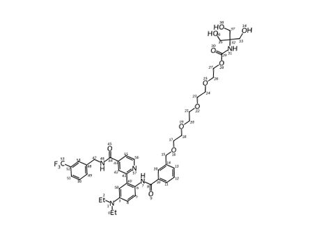 CCN(CC)c1ccc(NC(=O)c2cccc(COCCOCCOCCOCCOC(=O)NC(CO)(CO)CO)c2)c(-c2cc(C(=O)NCc3cccc(C(F)(F)F)c3)ccn2)c1